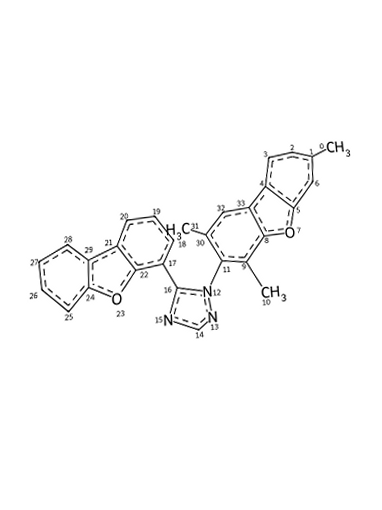 Cc1ccc2c(c1)oc1c(C)c(-n3ncnc3-c3cccc4c3oc3ccccc34)c(C)cc12